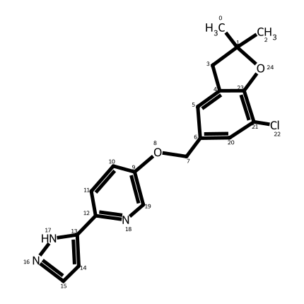 CC1(C)Cc2cc(COc3ccc(-c4ccn[nH]4)nc3)cc(Cl)c2O1